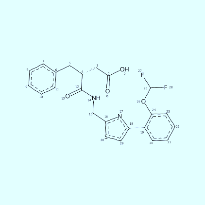 O=C(O)C[C@@H](Cc1ccccc1)C(=O)NCc1nc(-c2ccccc2OC(F)F)cs1